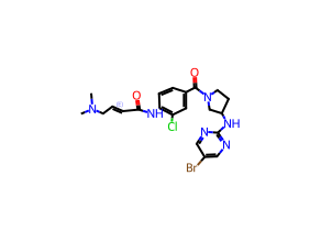 CN(C)C/C=C/C(=O)Nc1ccc(C(=O)N2CCC(Nc3ncc(Br)cn3)C2)cc1Cl